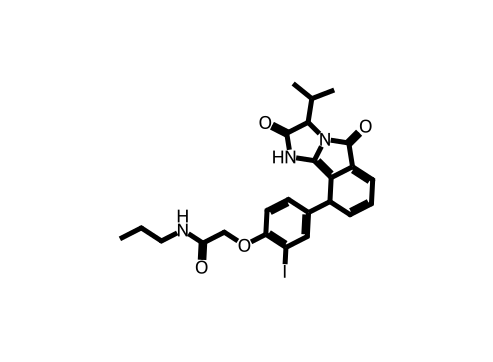 CCCNC(=O)COc1ccc(C2C=CC=C3C(=O)N4C(=C32)NC(=O)C4C(C)C)cc1I